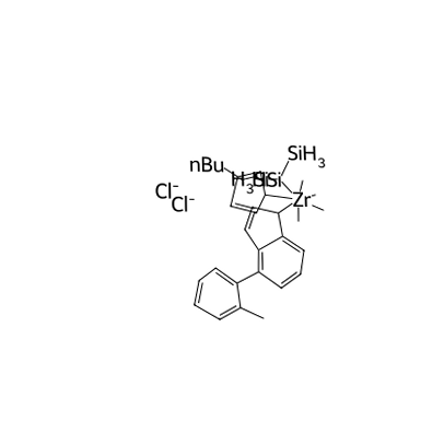 CCCCC1=C[CH]([Zr]([CH3])([CH3])([CH3])([CH3])([CH]2C=Cc3c(-c4ccccc4C)cccc32)[SiH]([SiH3])[SiH3])C=C1.[Cl-].[Cl-]